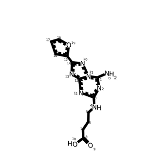 Nc1nc(NCCCC(=O)O)nc2nc(-c3ccco3)nn12